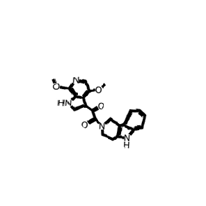 COc1ncc(OC)c2c(C(=O)C(=O)N3CCc4[nH]c5ccccc5c4C3)c[nH]c12